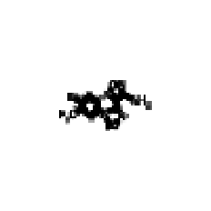 Nc1nonc1C1=NOCN1c1ccc(F)c(C(F)(F)F)c1